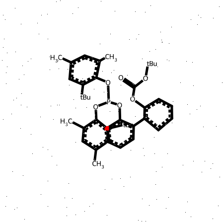 Cc1cc(C)c(OP(Oc2ccccc2-c2ccccc2OC(=O)OC(C)(C)C)Oc2c(C)cc(C)cc2C(C)(C)C)c(C(C)(C)C)c1